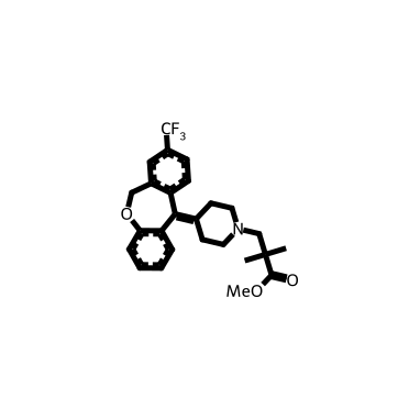 COC(=O)C(C)(C)CN1CCC(=C2c3ccc(C(F)(F)F)cc3COc3ccccc32)CC1